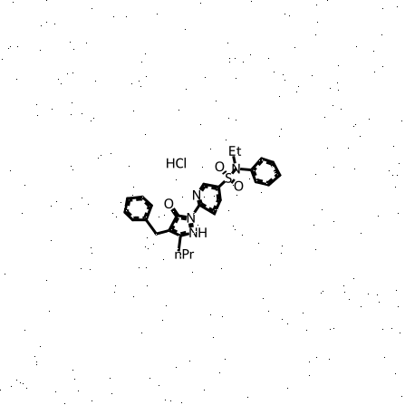 CCCc1[nH]n(-c2ccc(S(=O)(=O)N(CC)c3ccccc3)cn2)c(=O)c1Cc1ccccc1.Cl